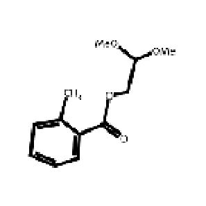 COC(COC(=O)c1ccccc1C)OC